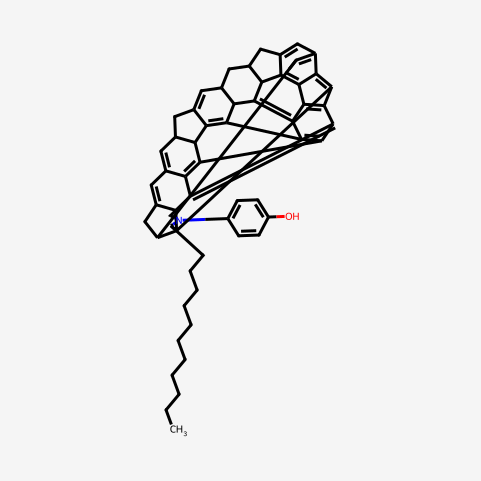 CCCCCCCCCCCC1N(c2ccc(O)cc2)CC23C4=CC5=CC6CC7=CC8CC9Cc%10cc%11c%12c%13c%10C9C9=c%10c%14c%15c(c(c%10-%13)C=%12C12C(C=%11)C4)=C3C5=C%15C6C7=C%14C98